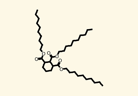 CCCCCCCCCCOC(=O)C1CCCC(C(=O)OCCCCCCCCCC)C1C(=O)OCCCCCCCCCC